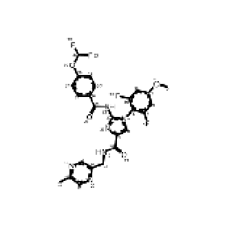 COc1cc(F)c(-n2cc(C(=O)NCc3cnc(C)cn3)nc2NC(=O)c2ccc(OC(F)F)cc2)c(F)c1